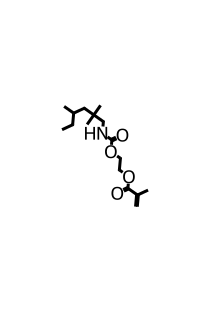 C=C(C)C(=O)OCCOC(=O)NCC(C)(C)CC(C)CC